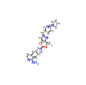 Nc1nccc2cc(CNC(=O)Oc3cn(Cc4ccc(N5CCCC5)nc4)nc3C(F)(F)F)ccc12